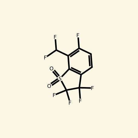 O=S1(=O)c2c(ccc(F)c2C(F)F)C(F)(F)C1(F)F